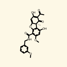 COc1cccc(CNC(=O)c2c(OC)cc(O)c3c2OC2=CC(O)=C(C(C)=O)C(=O)[C@]23C)c1